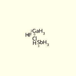 Cl.F.[GaH3].[SbH3]